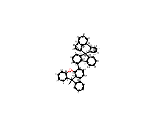 CC1(c2ccccc2)c2ccccc2Oc2c(-c3cccc4c3-c3ccccc3C43c4ccccc4-c4cccc5cccc3c45)cccc21